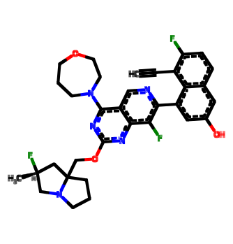 C#Cc1c(F)ccc2cc(O)cc(-c3ncc4c(N5CCCOCC5)nc(OCC56CCCN5C[C@](C)(F)C6)nc4c3F)c12